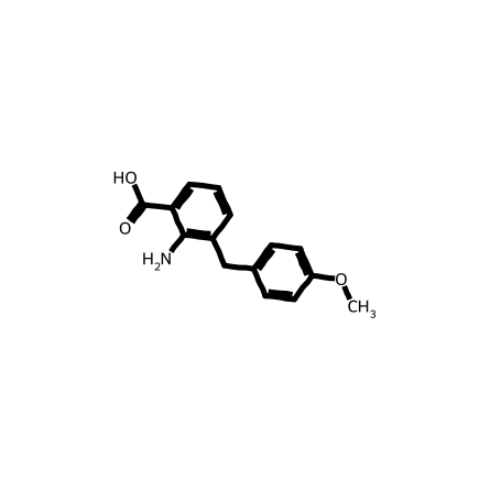 COc1ccc(Cc2cccc(C(=O)O)c2N)cc1